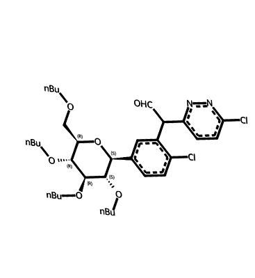 CCCCOC[C@H]1O[C@@H](c2ccc(Cl)c(C(C=O)c3ccc(Cl)nn3)c2)[C@H](OCCCC)[C@@H](OCCCC)[C@@H]1OCCCC